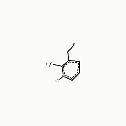 Cc1c(CF)ccc[n+]1O